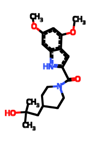 COc1cc(OC)c2cc(C(=O)N3CCC(CC(C)(C)O)CC3)[nH]c2c1